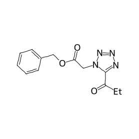 CCC(=O)c1nnnn1CC(=O)OCc1ccccc1